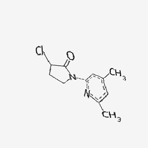 Cc1cc(C)nc(N2CCC(Cl)C2=O)c1